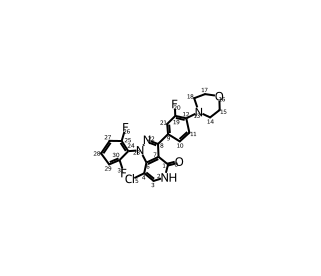 O=c1[nH]cc(Cl)c2c1c(-c1ccc(N3CCOCC3)c(F)c1)nn2-c1c(F)cccc1F